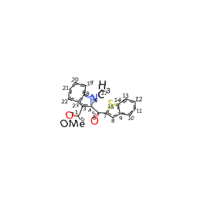 COC(=O)c1c(C(=O)c2cc3ccccc3s2)n(C)c2ccccc12